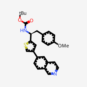 COc1ccc(C[C@H](NC(=O)OC(C)(C)C)c2cc(-c3ccc4cnccc4c3)cs2)cc1